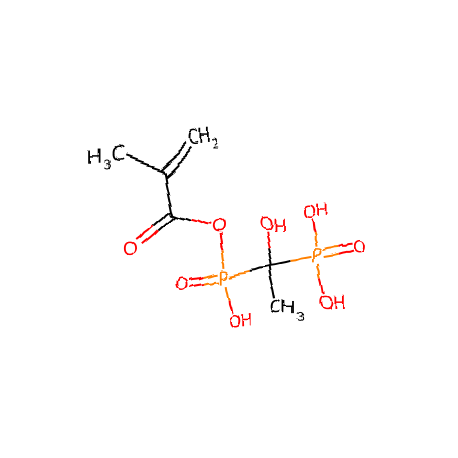 C=C(C)C(=O)OP(=O)(O)C(C)(O)P(=O)(O)O